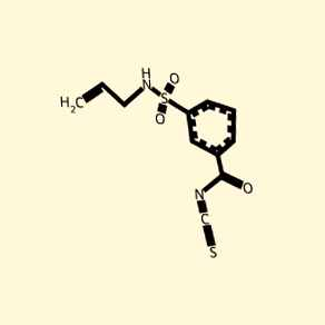 C=CCNS(=O)(=O)c1cccc(C(=O)N=C=S)c1